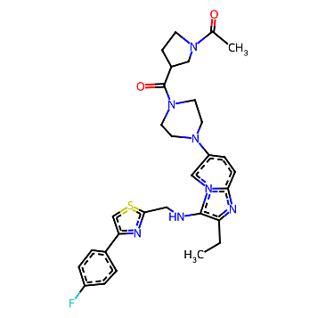 CCc1nc2ccc(N3CCN(C(=O)C4CCN(C(C)=O)C4)CC3)cn2c1NCc1nc(-c2ccc(F)cc2)cs1